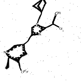 Cc1ncc(-c2cn(C34CC(C3)C4)c(C(O)C(F)(F)F)n2)cc1C(F)(F)F